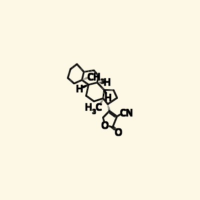 C[C@]12CC[C@H]3[C@@H](CCC4CCCC[C@@]43C)[C@@H]1CC[C@@H]2C1=C(C#N)C(=O)OC1